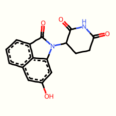 O=C1CCC(N2C(=O)c3cccc4cc(O)cc2c34)C(=O)N1